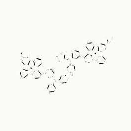 C=CC1=CC=C(C2(c3ccc(F)cc3)C3C=CC=CC3C3CCC(c4cccc(N(C5=CC6C(C=C5)OC5C=CC(N(c7ccc(F)cc7)C7C=CCC(C8=CC9C(C=C8)c8ccccc8C9(C8=CCC(C=C)C=C8)c8ccc(F)cc8)C7)=CC56)C5=CCC(F)CC5)c4)=CC32)CC1